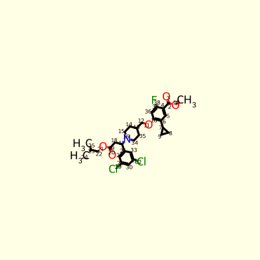 COC(=O)c1cc(C2CC2)c(OCC2CCN(C(CC(=O)OCC(C)C)c3cc(Cl)cc(Cl)c3)CC2)cc1F